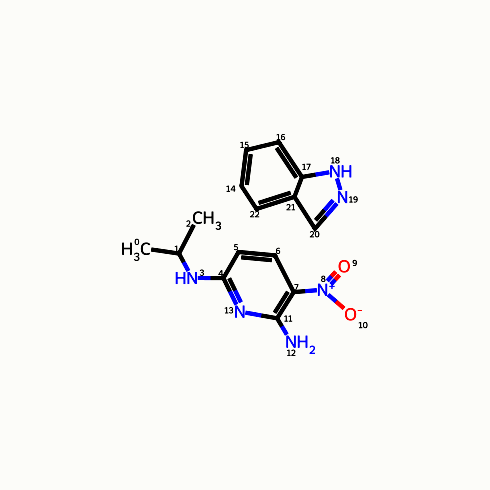 CC(C)Nc1ccc([N+](=O)[O-])c(N)n1.c1ccc2[nH]ncc2c1